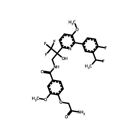 COc1cc(C(=O)NCC(O)(c2ccc(OC)c(-c3ccc(F)c(C(C)F)c3)n2)C(F)(F)F)ccc1OCC(N)=O